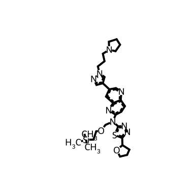 C[Si](C)(C)CCOCN(c1ccc2ncc(-c3cnn(CCCN4CCCC4)c3)cc2n1)c1nnc(C2CCCO2)s1